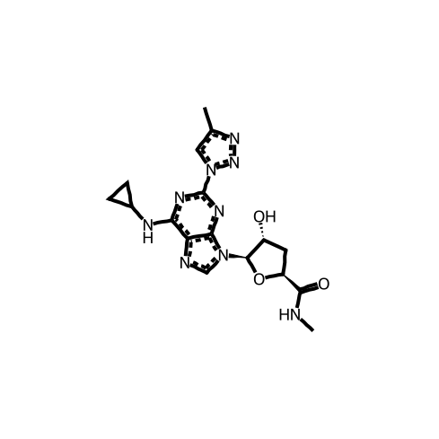 CNC(=O)[C@@H]1C[C@@H](O)[C@H](n2cnc3c(NC4CC4)nc(-n4cc(C)nn4)nc32)O1